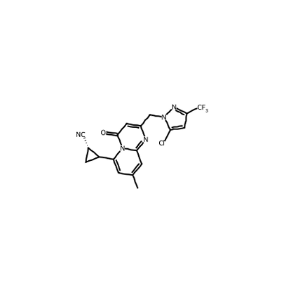 Cc1cc(C2C[C@@H]2C#N)n2c(=O)cc(Cn3nc(C(F)(F)F)cc3Cl)nc2c1